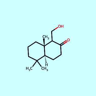 CC1(C)CCC[C@]2(C)C(CO)C(=O)CC[C@@H]12